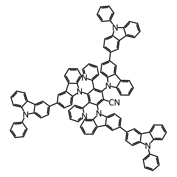 N#Cc1c(-n2c3ccccc3c3cc(-c4ccc5c(c4)c4ccccc4n5-c4ccccc4)ccc32)c(-c2ccccn2)c(-n2c3ccccc3c3cc(-c4ccc5c(c4)c4ccccc4n5-c4ccccc4)ccc32)c(-c2ccccn2)c1-n1c2ccccc2c2cc(-c3ccc4c(c3)c3ccccc3n4-c3ccccc3)ccc21